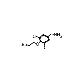 CC(C)(C)CCOc1c(Cl)cc(CN)cc1Cl